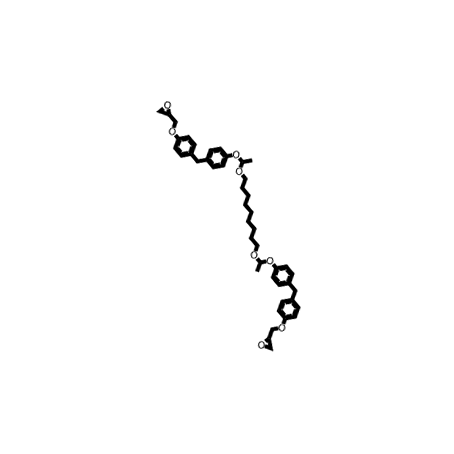 CC(OCCCCCCCCCOC(C)Oc1ccc(Cc2ccc(OCC3CO3)cc2)cc1)Oc1ccc(Cc2ccc(OCC3CO3)cc2)cc1